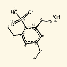 CCc1cc(CC)c(S(=O)(=O)O)c(CC)c1.[KH]